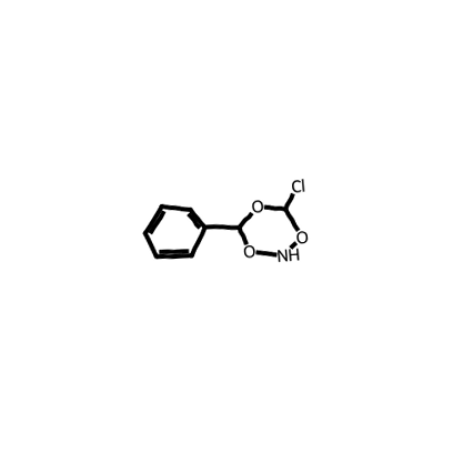 ClC1ONOC(c2ccccc2)O1